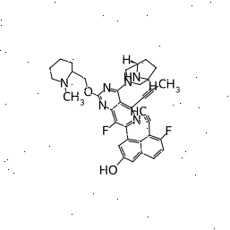 C#Cc1c(F)ccc2cc(O)cc(-c3nc(C#CC)c4c(N5C[C@H]6CC[C@@H](C5)N6)nc(OCC5CCCCN5C)nc4c3F)c12